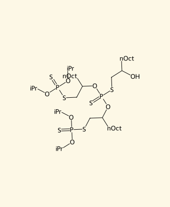 CCCCCCCCC(O)CSP(=S)(OC(CCCCCCCC)CSP(=S)(OC(C)C)OC(C)C)OC(CCCCCCCC)CSP(=S)(OC(C)C)OC(C)C